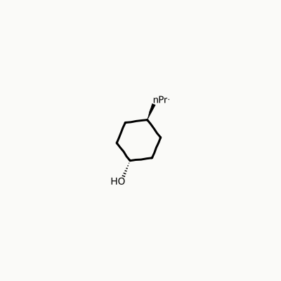 CC[CH][C@H]1CC[C@H](O)CC1